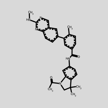 CNc1ncc2cc(-c3cc(C(=O)Nc4ccc5c(c4)N(C(C)=O)CC5(C)C)ccc3C)ccc2n1